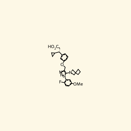 COc1ccc(F)c(-n2nnc(COc3cccc([C@@H](CC(=O)O)C4CC4)c3)c2N2CC3(CCC3)C2)c1